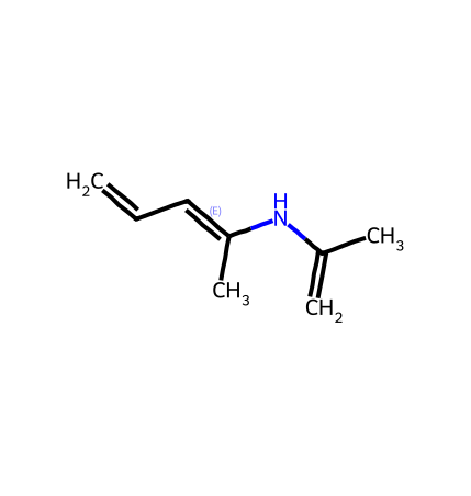 C=C/C=C(\C)NC(=C)C